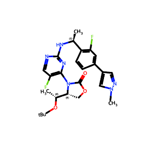 C[C@H](Nc1ncc(F)c(N2C(=O)OC[C@@H]2[C@@H](C)OC(C)(C)C)n1)c1ccc(-c2cnn(C)c2)cc1F